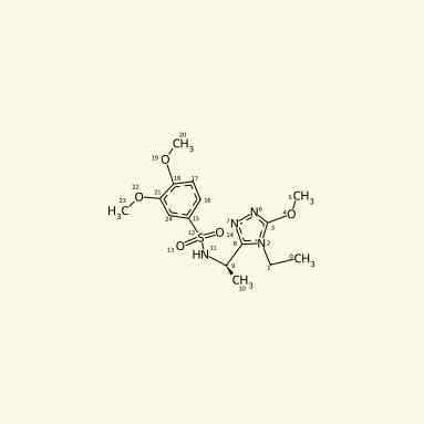 CCn1c(OC)nnc1[C@@H](C)NS(=O)(=O)c1ccc(OC)c(OC)c1